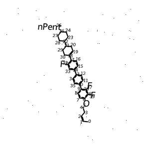 C/C=C\CCOc1ccc(-c2ccc(-c3ccc(C4=CCC(C5CCC(CCCCC)CC5)CC4)c(F)c3)cc2)c(F)c1F